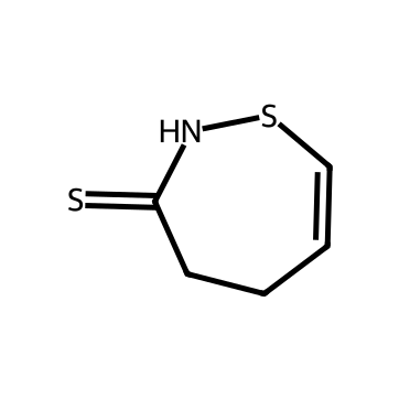 S=C1CCC=CSN1